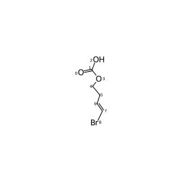 O=C(O)OCCC=CBr